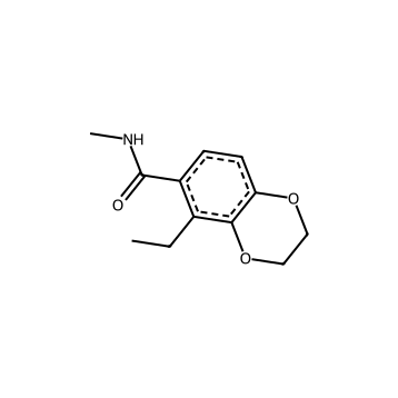 CCc1c(C(=O)NC)ccc2c1OCCO2